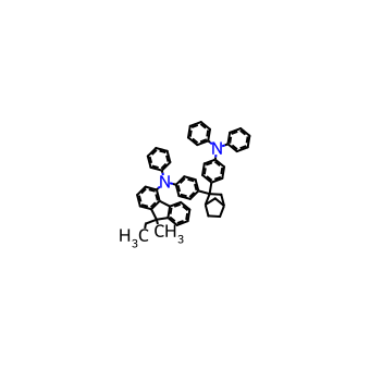 CCC1(C)c2ccccc2-c2c(N(c3ccccc3)c3ccc(C4(c5ccc(N(c6ccccc6)c6ccccc6)cc5)CC5CCC4C5)cc3)cccc21